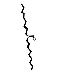 CCCCCCC=CCN(C=O)CC=CCCCCCC